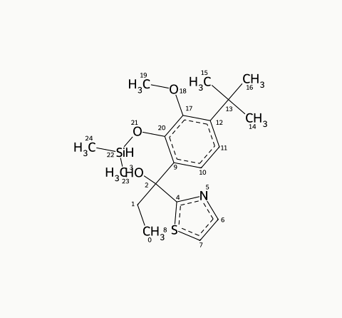 CCC(O)(c1nccs1)c1ccc(C(C)(C)C)c(OC)c1O[SiH](C)C